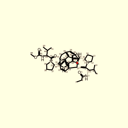 C=C([C@@H](NC(=O)CC)C(C)C)N1CCC[C@H]1c1nc(-c2cc3ccc2CCc2ccc(c(-c4c[nH]c([C@@H]5CCCN5C(=O)[C@@H](NC(=O)OC)C(C)C)n4)c2)CC3)c[nH]1